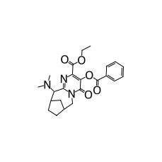 CCOC(=O)c1nc2n(c(=O)c1OC(=O)c1ccccc1)CC1CCC(C1)C2N(C)C